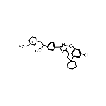 O=C(O)[C@H]1CCCN(CC(O)c2ccc(-c3noc(CCC4(c5cc(Cl)cc(Cl)c5)CCCCC4)n3)cc2)C1